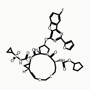 O=C(N[C@H]1CCCCC/C=C\[C@@H]2C[C@@]2(C(=O)NS(=O)(=O)C2CC2)NC(=O)[C@@H]2C[C@@H](Oc3nc(-c4ccco4)nc4c3oc3ccc(F)cc34)CN2C1=O)OC1CCCC1